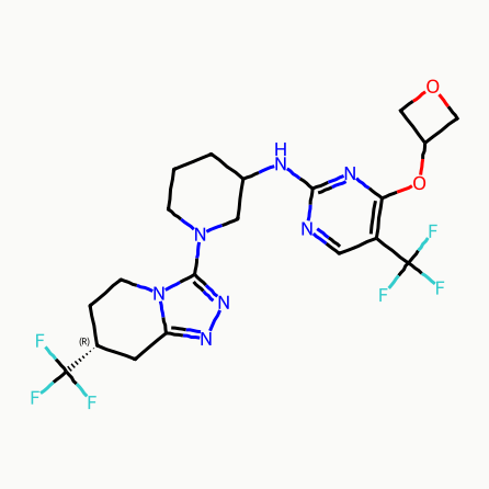 FC(F)(F)c1cnc(NC2CCCN(c3nnc4n3CC[C@@H](C(F)(F)F)C4)C2)nc1OC1COC1